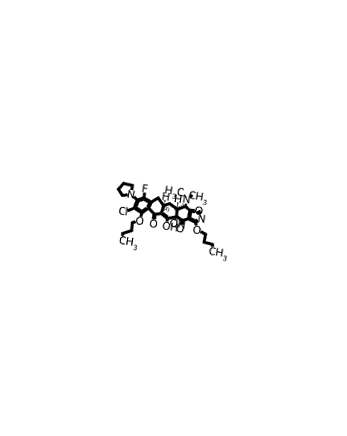 CCCCOc1noc2c1C(=O)[C@@]1(O)C(O)=C3C(=O)c4c(c(F)c(N5CCCC5)c(Cl)c4OCCCC)C[C@H]3C[C@H]1[C@@H]2N(C)C